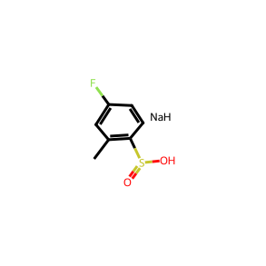 Cc1cc(F)ccc1S(=O)O.[NaH]